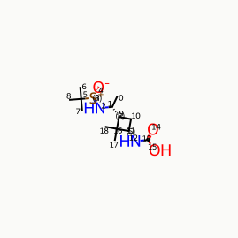 CC(N[S@@+]([O-])C(C)(C)C)[C@@H]1C[C@H](NC(=O)O)C1(C)C